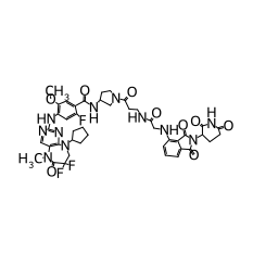 COc1cc(C(=O)N[C@H]2CCN(C(=O)CCNC(=O)CNc3cccc4c3C(=O)N(C3CCC(=O)NC3=O)C4=O)C2)c(F)cc1Nc1ncc2c(n1)N(C1CCCC1)CC(F)(F)C(=O)N2C